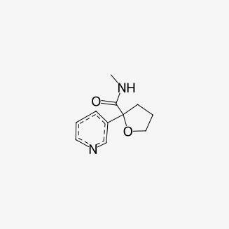 CNC(=O)C1(c2cccnc2)CCCO1